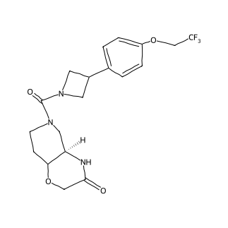 O=C1COC2CCN(C(=O)N3CC(c4ccc(OCC(F)(F)F)cc4)C3)C[C@H]2N1